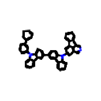 c1ccc(-c2cccc(-n3c4ccccc4c4cc(-c5ccc6c(c5)c5ccccc5n6-c5cc6c7c(cncc7c5)-c5ccccc5-6)ccc43)c2)cc1